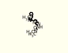 CCN(CC)CC(=O)Nc1cc2nc(-c3cnn(C)c3CN3CCCCC3)ccc2cn1